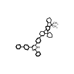 CC1(C)c2cc3c(cc2C2=CCCCC21)C1=C(C=C(c2ccc(C4C=C(c5ccc(-c6ccccc6)cc5)N=C(c5ccccc5)N4)cc2)CC1)C31CCCCC1